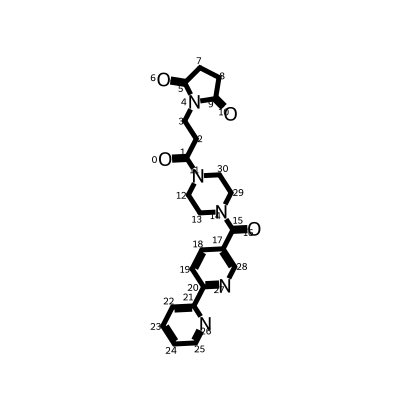 O=C(CCN1C(=O)CCC1=O)N1CCN(C(=O)c2ccc(-c3ccccn3)nc2)CC1